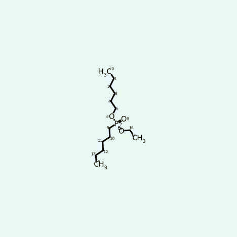 CCCCCCOP(=O)(CCCCCC)OCC